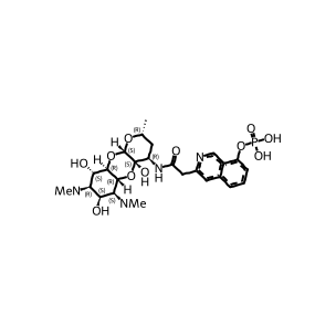 CN[C@@H]1[C@H](O)[C@H](NC)[C@H]2O[C@]3(O)[C@H](O[C@@H]2[C@H]1O)O[C@H](C)C[C@H]3NC(=O)Cc1cc2cccc(OP(=O)(O)O)c2cn1